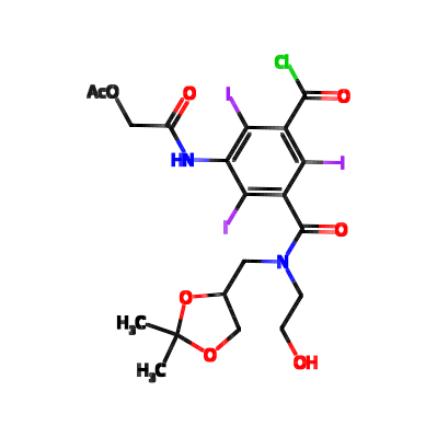 CC(=O)OCC(=O)Nc1c(I)c(C(=O)Cl)c(I)c(C(=O)N(CCO)CC2COC(C)(C)O2)c1I